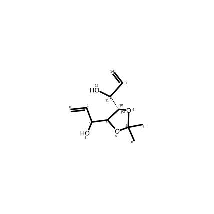 C=CC(O)C1OC(C)(C)O[C@H]1C(O)C=C